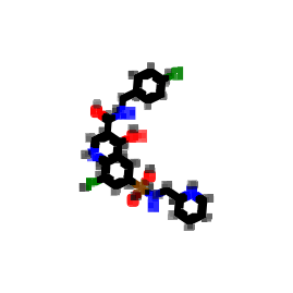 O=C(NCc1ccc(Cl)cc1)c1cnc2c(F)cc(S(=O)(=O)NCc3ccccn3)cc2c1O